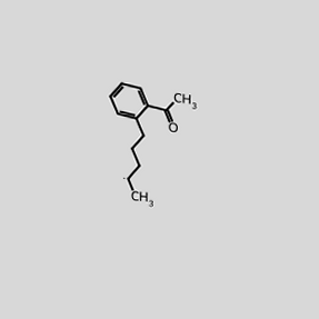 C[CH]CCCc1ccccc1C(C)=O